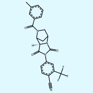 Cc1cccc(C(=O)N2CC3CC2[C@@H]2C(=O)N(c4ccc(C#N)c(C(F)(F)F)c4)C(=O)N32)c1